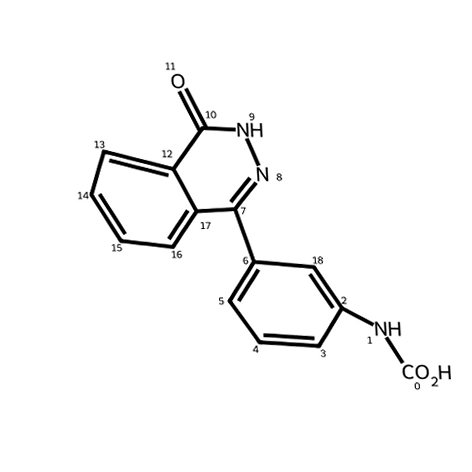 O=C(O)Nc1cccc(-c2n[nH]c(=O)c3ccccc23)c1